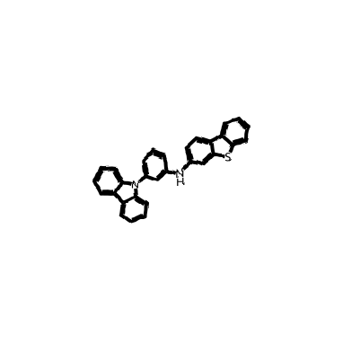 c1cc(Nc2ccc3c(c2)sc2ccccc23)cc(-n2c3ccccc3c3ccccc32)c1